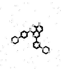 O=c1[nH]ccc2cc(-c3cccc(N4CCOCC4)n3)nc(Nc3ccc(N4CCOCC4)cc3)c12